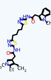 C=Cc1c(CC(=O)Nc2nnc(CCCCc3nnc(NC(=O)Cc4cn(C)c5ccccc45)s3)s2)cn(C)c1CC